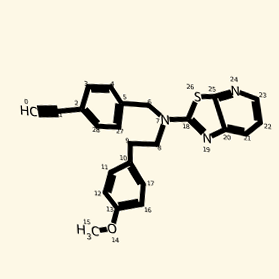 C#Cc1ccc(CN(CCc2ccc(OC)cc2)c2nc3cccnc3s2)cc1